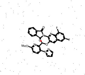 COc1ccc(-n2cccn2)c(C(C)Oc2cc3cc(F)cc(F)c3nc2N2C(=O)c3ccccc3C2=O)n1